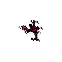 C=C(C)C(=O)OCCNC(=O)Oc1ccc(-c2cc(C)c(OC(=O)NCCOC(=O)C(=C)C)c(C(c3ccc(-c4ccccc4)cc3)c3cc(-c4ccc(OC(=O)NCCOC(=O)C(=C)C)c(C)c4)cc(C)c3OC(=O)NCCOC(=O)C(=C)C)c2)cc1C